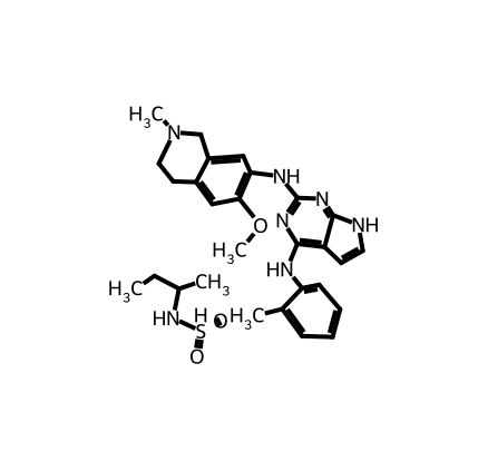 CCC(C)N[SH](=O)=O.COc1cc2c(cc1Nc1nc(Nc3ccccc3C)c3cc[nH]c3n1)CN(C)CC2